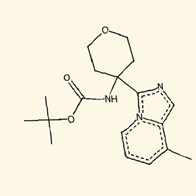 Cc1cccn2c(C3(NC(=O)OC(C)(C)C)CCOCC3)ncc12